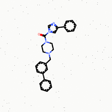 O=C(N1CCN(Cc2cccc(-c3ccccc3)c2)CC1)n1cnc(-c2ccccc2)c1